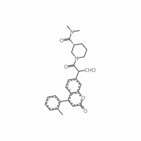 Cc1ccccc1-c1cc(=O)oc2cc(C(C=O)C(=O)N3CCC[C@H](C(=O)N(C)C)C3)ccc12